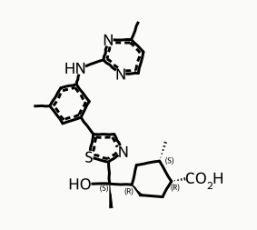 Cc1cc(Nc2nccc(C)n2)cc(-c2cnc([C@@](C)(O)[C@@H]3CC[C@@H](C(=O)O)[C@@H](C)C3)s2)c1